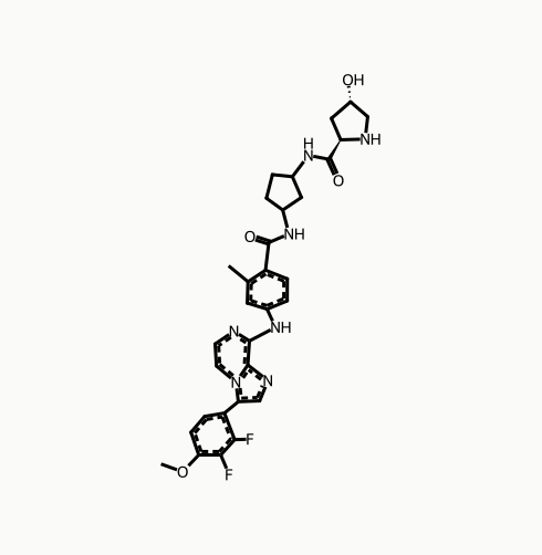 COc1ccc(-c2cnc3c(Nc4ccc(C(=O)NC5CCC(NC(=O)[C@H]6C[C@H](O)CN6)C5)c(C)c4)nccn23)c(F)c1F